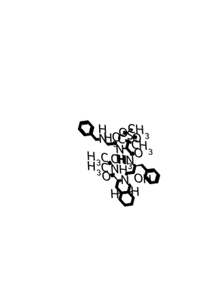 CC(C)(C)NC(=O)[C@@H]1C[C@@H]2CCCC[C@@H]2CN1C[C@@H](O)[C@H](Cc1ccccc1)NC(=O)[C@@H](NC(=O)CNCc1ccccc1)C(C)(C)S(C)(=O)=O